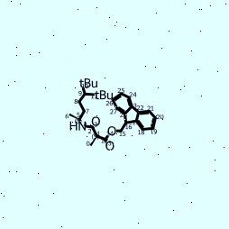 C[C@@H](C(=O)N[C@@H](C)CCC(C(C)(C)C)C(C)(C)C)C(=O)OCC1c2ccccc2-c2ccccc21